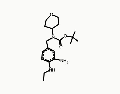 CCNc1ccc(CN(C(=O)OC(C)(C)C)C2CCOCC2)cc1N